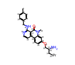 Cc1ccc(CNc2nccc3c2c(=O)n(C)c2cc(OC[C@@H](N)CC(C)C)ccc32)cc1